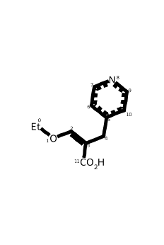 CCOC=C(Cc1ccncc1)C(=O)O